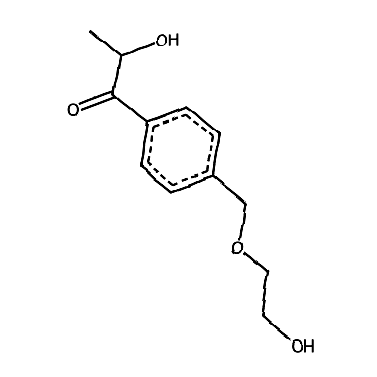 CC(O)C(=O)c1ccc(COCCO)cc1